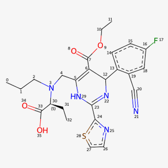 CCCN(CC1=C(C(=O)OCC)C(c2ccc(F)cc2C#N)N=C(c2nccs2)N1)[C@@H](CC)C(=O)O